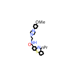 CCCC1=Nc2cc(C(=O)NCCCN3CCN(c4ccc(OC)cc4)CC3)ccc2Sc2ccccc21